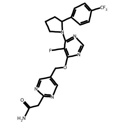 NC(=O)Cc1ncc(COc2ncnc(N3CCCC3c3ccc(C(F)(F)F)cc3)c2F)cn1